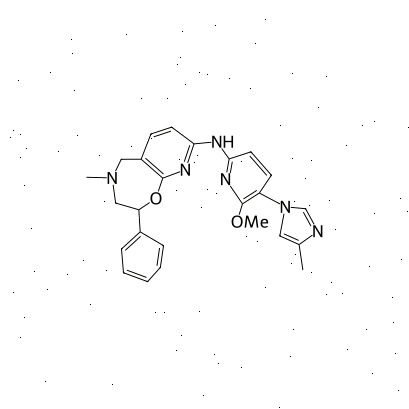 COc1nc(Nc2ccc3c(n2)OC(c2ccccc2)CN(C)C3)ccc1-n1cnc(C)c1